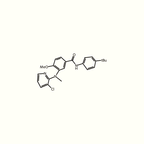 COc1ccc(C(=O)Nc2ccc(C(C)(C)C)cc2)cc1N(C)c1ncccc1Cl